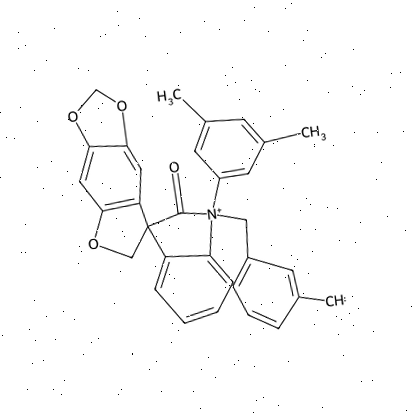 [CH]c1cccc(C[N+]2(c3cc(C)cc(C)c3)C(=O)C3(COc4cc5c(cc43)OCO5)c3ccccc32)c1